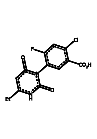 CCc1cc(=O)n(-c2cc(C(=O)O)c(Cl)cc2F)c(=O)[nH]1